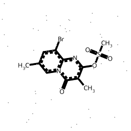 Cc1cc(Br)c2nc(OS(C)(=O)=O)c(C)c(=O)n2c1